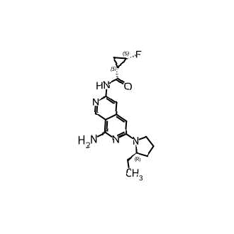 CC[C@@H]1CCCN1c1cc2cc(NC(=O)[C@@H]3C[C@@H]3F)ncc2c(N)n1